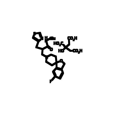 CC(C)(C)NC(=O)C(Cc1cscn1)CN1CCC2(CC1)OCc1ccc(F)cc12.O=C(O)CC(O)(CC(=O)O)C(=O)O